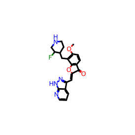 COc1ccc2c(c1CC1CCNCC1F)OC(=Cc1n[nH]c3ncccc13)C2=O